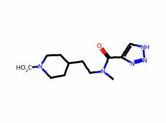 CN(CCC1CCN(C(=O)O)CC1)C(=O)c1c[nH]nn1